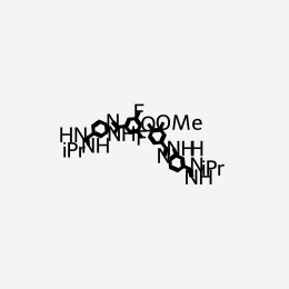 COc1cc(-c2nc3ccc(C(=N)NC(C)C)cc3[nH]2)ccc1Oc1c(F)cc(-c2nc3ccc(C(=N)NC(C)C)cc3[nH]2)cc1F